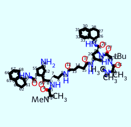 CN[C@@H](C)C(=O)N[C@@H](CCCNC(=O)CCCC(=O)N[C@H]1C[C@@H](C(=O)N[C@@H]2CCCc3ccccc32)N(C(=O)[C@@H](NC(=O)[C@H](C)N(C)C)C(C)(C)C)C1)C(=O)C1C[C@@H](N)C[C@H]1C(=O)N[C@@H]1CCCc2ccccc21